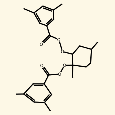 [CH2]C1CCC([CH2])(OOC(=O)c2cc(C)cc(C)c2)C(OOC(=O)c2cc(C)cc(C)c2)C1